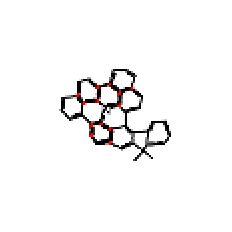 CC1(C)c2ccccc2-c2c(-c3ccccc3N(c3ccccc3-c3ccccc3)c3ccccc3-c3ccccc3-c3ccccc3-c3ccccc3)cccc21